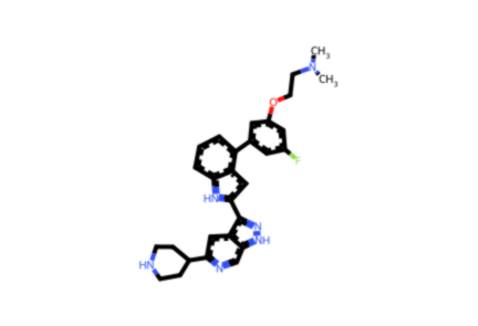 CN(C)CCOc1cc(F)cc(-c2cccc3[nH]c(-c4n[nH]c5cnc(C6CCNCC6)cc45)cc23)c1